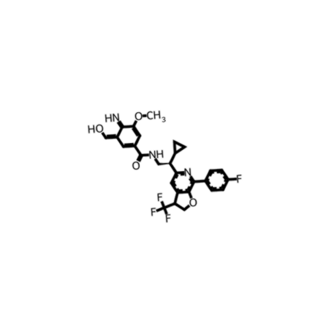 COC1=CC(C(=O)NC[C@H](c2cc3c(c(-c4ccc(F)cc4)n2)OCC3C(F)(F)F)C2CC2)=C/C(=C/O)C1=N